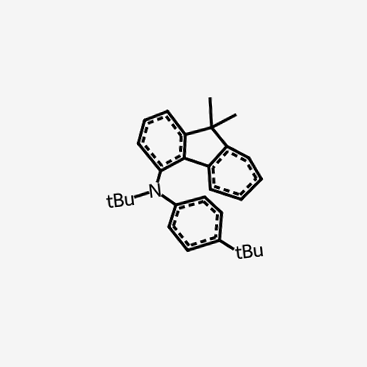 CC(C)(C)c1ccc(N(c2cccc3c2-c2ccccc2C3(C)C)C(C)(C)C)cc1